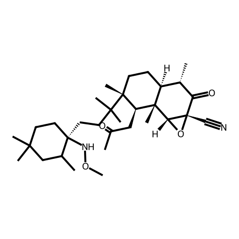 CON[C@]1(CCC(C)(C)[C@]2(C)CC[C@H]3[C@H](C)C(=O)[C@]4(C#N)O[C@@H]4[C@]3(C)[C@H]2CC(C)=O)CCC(C)(C)CC1C